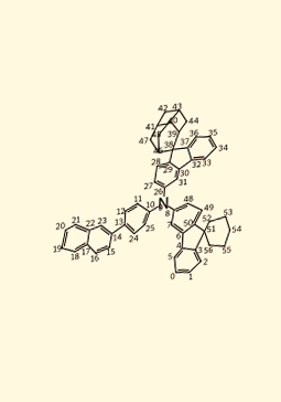 c1ccc2c(c1)-c1cc(N(c3ccc(-c4ccc5ccccc5c4)cc3)c3ccc4c(c3)-c3ccccc3C43C4CC5CC(C4)CC3C5)ccc1C21CCCCC1